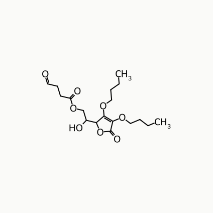 CCCCOC1=C(OCCCC)C(C(O)COC(=O)CCC=O)OC1=O